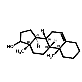 C[C@]12CCCCC1=CC[C@@H]1[C@H]2CC[C@]2(C)C(O)CC[C@@H]12